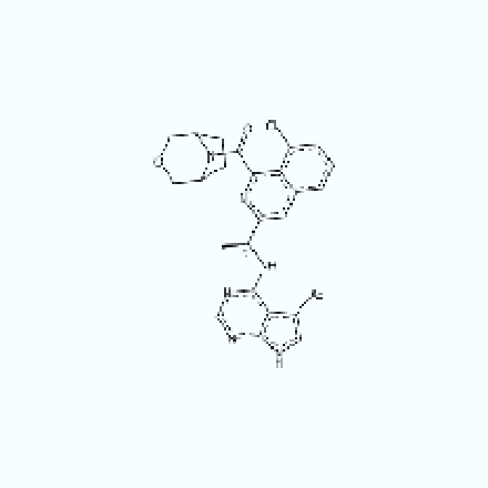 CC(=O)c1c[nH]c2ncnc(N[C@@H](C)c3cc4cccc(Cl)c4c(C(=O)N4C5CCC4COC5)n3)c12